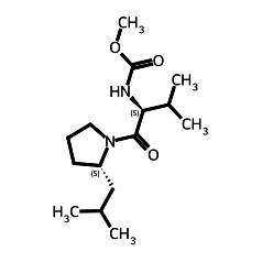 COC(=O)N[C@H](C(=O)N1CCC[C@H]1CC(C)C)C(C)C